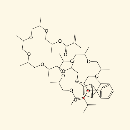 C=C(C)C(=O)OC(C)COC(C)COC(C)COC(C)COC(C)COC(C)COC1=CC2=CC=C1C21c2ccc(cc2OCC(C)OCC(C)OCC(C)OCC(C)OCC(C)OCC(C)OC(=O)C(=C)C)C1C